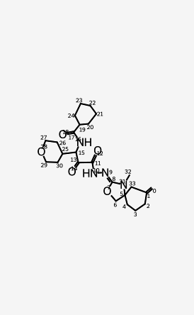 C=C1CCCC2(CO/C(=N\NC(=O)C(=O)C(NC(=O)C3CCCCC3)C3CCOCC3)N2C)C1